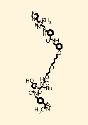 Cc1ncsc1-c1ccc(CNC(=O)[C@@H]2C[C@@H](O)CN2C(=O)[C@@H](NC(=O)COCCCOCCCCCOc2cccc(CNC(=O)c3cccc(NCc4nnc(-c5ccncn5)n4C)c3)c2)C(C)(C)C)cc1